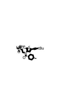 CC(C)(C)C#Cc1cc(N(CCP(C)(=O)O)C(=O)[C@H]2CC[C@H](C)CC2)c(C(=O)O)s1